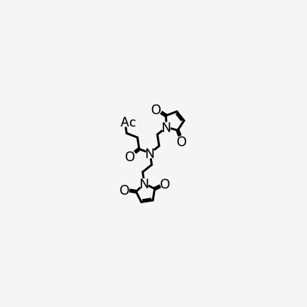 CC(=O)CCC(=O)N(CCN1C(=O)C=CC1=O)CCN1C(=O)C=CC1=O